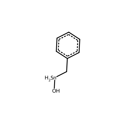 [OH][SnH2][CH2]c1ccccc1